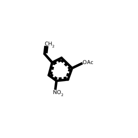 C=Cc1cc(OC(C)=O)cc([N+](=O)[O-])c1